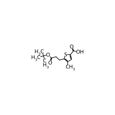 Cc1cc(C(=O)O)sc1CCC(=O)OC(C)(C)C